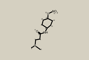 CN(C)CCC(=O)NC1CCC(O[N+](=O)[O-])CC1